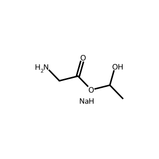 CC(O)OC(=O)CN.[NaH]